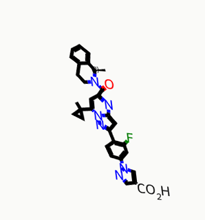 C[C@@H]1c2ccccc2CCN1C(=O)c1cc(C2(C)CC2)n2nc(-c3ccc(-n4cc(C(=O)O)cn4)cc3F)cc2n1